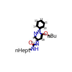 CCCCCCCNC(=O)N=c1cnn(-c2ccccc2)c(OCCCC)c1